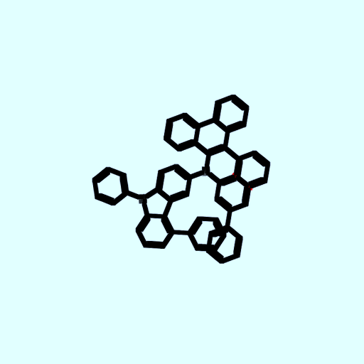 c1ccc(-c2cccc(N(c3ccc4c(c3)c3c(-c5ccccc5)cccc3n4-c3ccccc3)c3c(-c4ccccc4)c4ccccc4c4ccccc34)c2)cc1